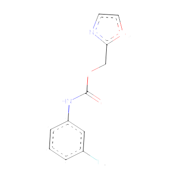 O=C(Nc1cccc(F)c1)OCc1ncco1